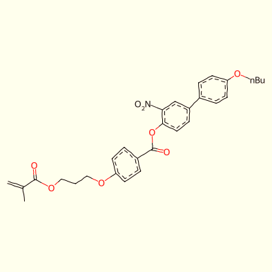 C=C(C)C(=O)OCCCOc1ccc(C(=O)Oc2ccc(-c3ccc(OCCCC)cc3)cc2[N+](=O)[O-])cc1